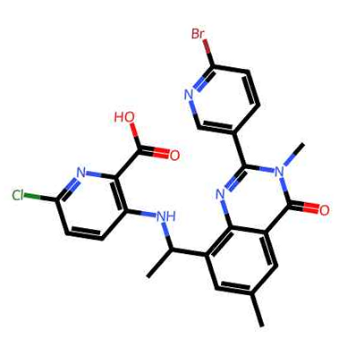 Cc1cc(C(C)Nc2ccc(Cl)nc2C(=O)O)c2nc(-c3ccc(Br)nc3)n(C)c(=O)c2c1